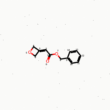 O=C(C=C1COC1)OCc1ccccc1